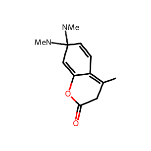 CNC1(NC)C=CC2=C(C)CC(=O)OC2=C1